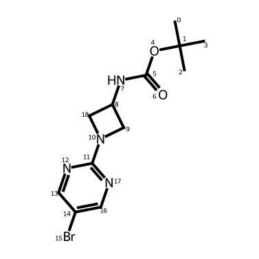 CC(C)(C)OC(=O)NC1CN(c2ncc(Br)cn2)C1